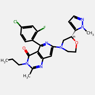 CCCn1c(C)nc2cc(N3CCO[C@@H](c4ccnn4C)C3)nc(-c3ccc(Cl)cc3F)c2c1=O